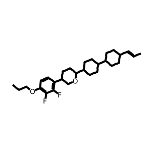 C/C=C/C1CCC(C2CCC(C3CCC(c4ccc(OCCC)c(F)c4F)CO3)CC2)CC1